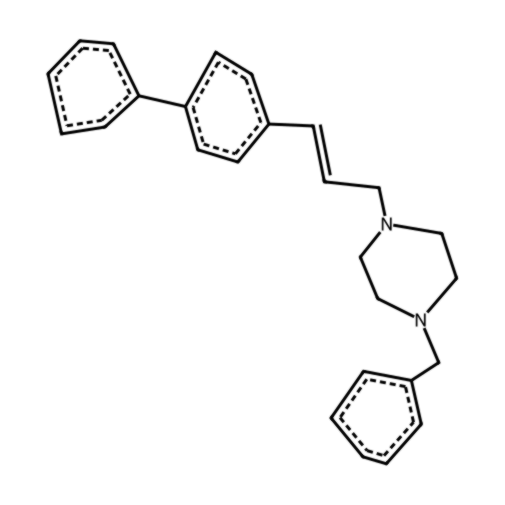 C(=Cc1ccc(-c2ccccc2)cc1)CN1CCN(Cc2ccccc2)CC1